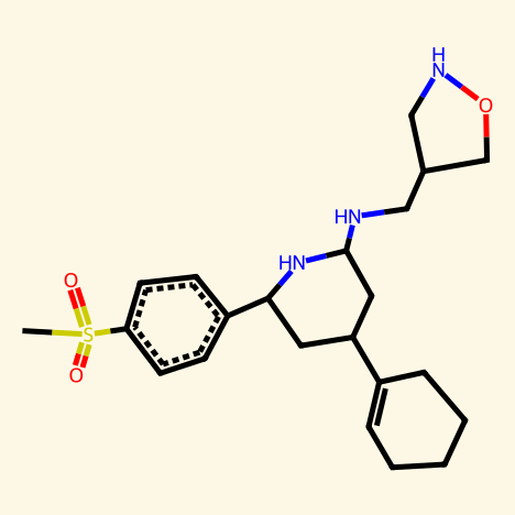 CS(=O)(=O)c1ccc(C2CC(C3=CCCCC3)CC(NCC3CNOC3)N2)cc1